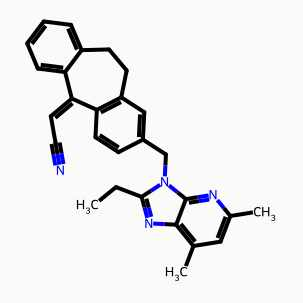 CCc1nc2c(C)cc(C)nc2n1Cc1ccc2c(c1)CCc1ccccc1/C2=C/C#N